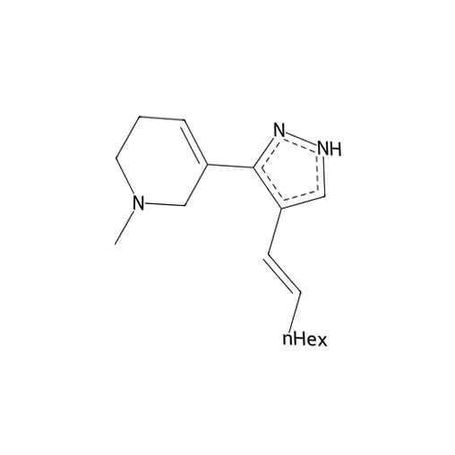 CCCCCCC=Cc1c[nH]nc1C1=CCCN(C)C1